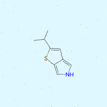 CC(C)c1cc2c[nH]cc2s1